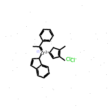 CC1=C(C)C[C](/[Zr+2](=[C](/C)c2ccccc2)[CH]2C=Cc3ccccc32)=C1.[Cl-].[Cl-]